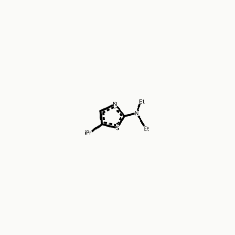 CCN(CC)c1ncc(C(C)C)s1